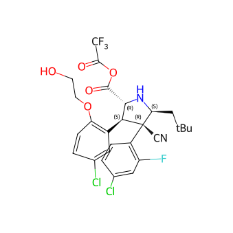 CC(C)(C)C[C@@H]1N[C@@H](C(=O)OC(=O)C(F)(F)F)[C@H](c2cc(Cl)ccc2OCCO)[C@@]1(C#N)c1ccc(Cl)cc1F